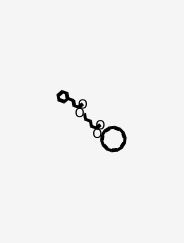 O=C(/C=C/c1ccccc1)OCCCCC(=O)Oc1ccccccccccccc1